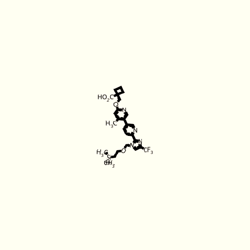 Cc1cc(OCC2(C(=O)O)CCC2)ncc1-c1ccc(-c2nc(C(F)(F)F)cn2COCC[SiH](C)C)nc1